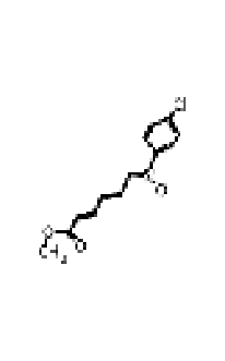 COC(=O)C=CC=CC[S+]([O-])c1ccc(Cl)cc1